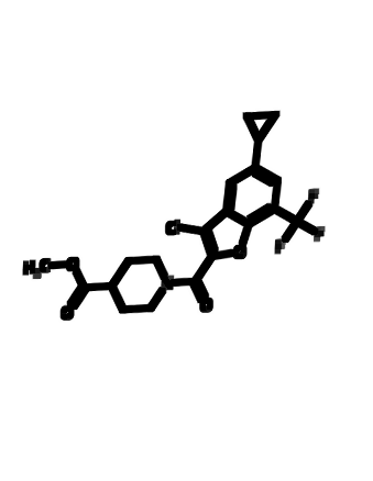 COC(=O)C1CCN(C(=O)c2oc3c(C(F)(F)F)cc(C4CC4)cc3c2Cl)CC1